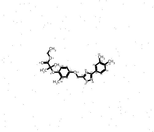 CCOC(=O)C(C)(C)Oc1ccc(OCc2nc(-c3ccc(C)c(C)c3)ns2)cc1C